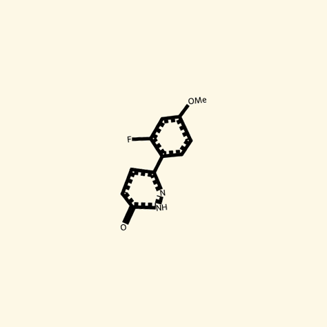 COc1ccc(-c2ccc(=O)[nH]n2)c(F)c1